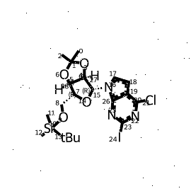 CC1(C)O[C@@H]2[C@H](O1)[C@@H](CO[Si](C)(C)C(C)(C)C)O[C@H]2n1ccc2c(Cl)nc(I)nc21